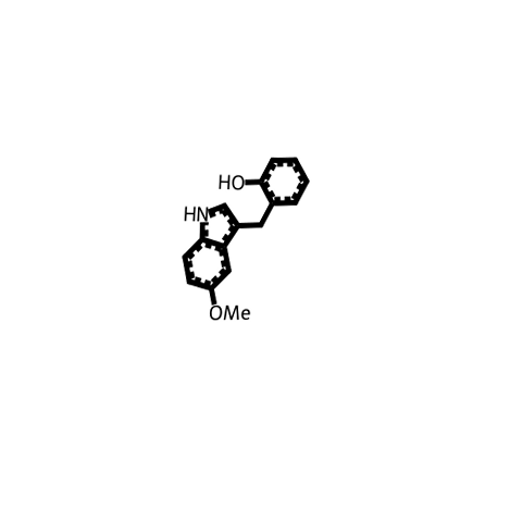 COc1ccc2[nH]cc(Cc3ccccc3O)c2c1